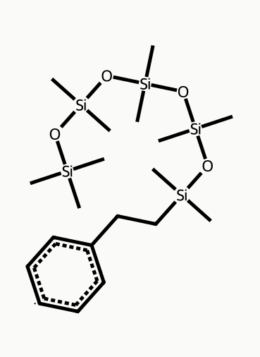 C[Si](C)(C)O[Si](C)(C)O[Si](C)(C)O[Si](C)(C)O[Si](C)(C)CCc1cc[c]cc1